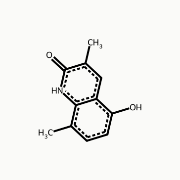 Cc1cc2c(O)ccc(C)c2[nH]c1=O